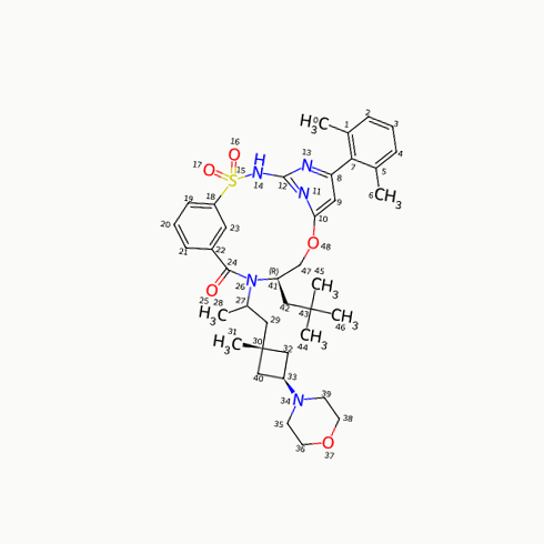 Cc1cccc(C)c1-c1cc2nc(n1)NS(=O)(=O)c1cccc(c1)C(=O)N(C(C)C[C@]1(C)C[C@@H](N3CCOCC3)C1)[C@H](CC(C)(C)C)CO2